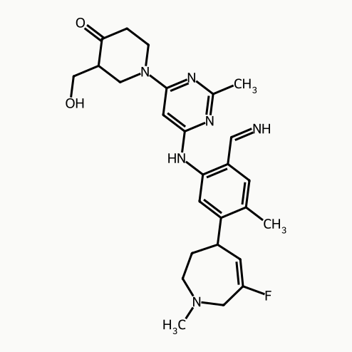 Cc1nc(Nc2cc(C3C=C(F)CN(C)CC3)c(C)cc2C=N)cc(N2CCC(=O)C(CO)C2)n1